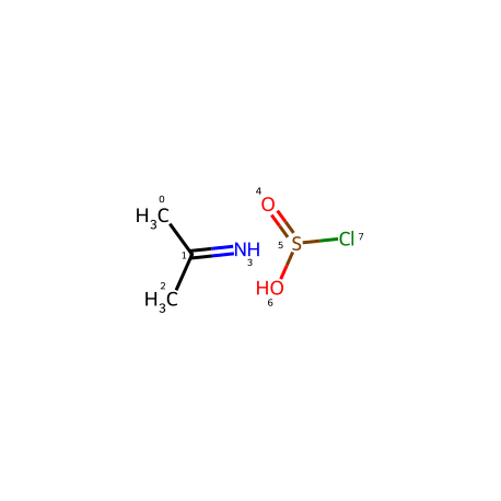 CC(C)=N.O=S(O)Cl